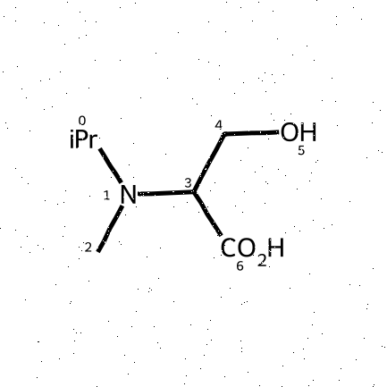 CC(C)N(C)C(CO)C(=O)O